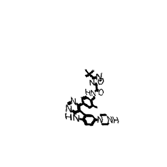 Cc1cc(-c2ncnc3[nH]c4ccc(N5CCNCC5)cc4c23)ccc1CNC(=O)c1nc(C(C)(C)C)no1